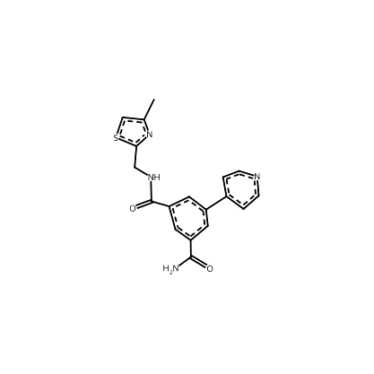 Cc1csc(CNC(=O)c2cc(C(N)=O)cc(-c3ccncc3)c2)n1